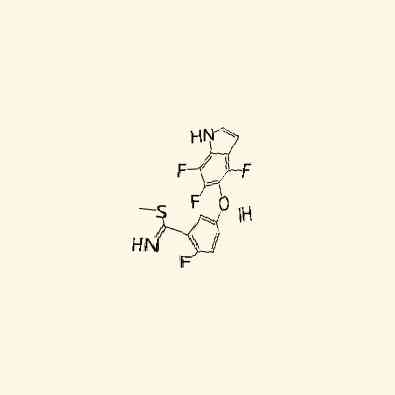 CSC(=N)c1cc(Oc2c(F)c(F)c3[nH]ccc3c2F)ccc1F.I